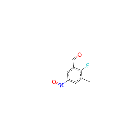 Cc1cc(N=O)cc(C=O)c1F